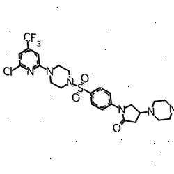 O=C1CC(N2CCNCC2)CN1c1ccc(S(=O)(=O)N2CCN(c3cc(C(F)(F)F)cc(Cl)n3)CC2)cc1